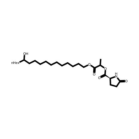 CCCCCCC(O)CCCCCCCCCCCOC(=O)C(C)OC(=O)[C@@H]1CCC(=O)N1